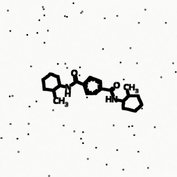 CC1CCCCC1NC(=O)c1ccc(C(=O)NC2CCCCC2C)cc1